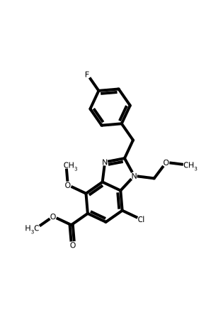 COCn1c(Cc2ccc(F)cc2)nc2c(OC)c(C(=O)OC)cc(Cl)c21